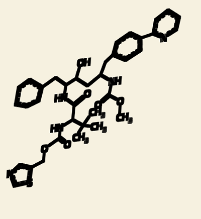 COC(=O)NC(Cc1ccc(-c2ccccn2)cc1)CC(O)C(Cc1ccccc1)NC(=O)C(NC(=O)OCc1cncs1)C(C)(C)C